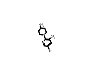 NC1CCN(c2ncc(Br)cc2C(F)(F)F)CC1